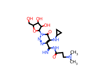 CN(C)CCC(=O)NC(=N)c1nnn(C2OC(CO)C(O)C2O)c(=O)c1NC1CC1